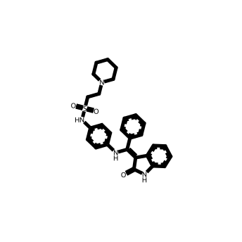 O=C1Nc2ccccc2/C1=C(/Nc1ccc(NS(=O)(=O)CCN2CCCCC2)cc1)c1ccccc1